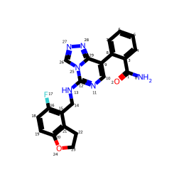 NC(=O)c1ccccc1-c1cnc(NCc2c(F)ccc3c2CCO3)n2cnnc12